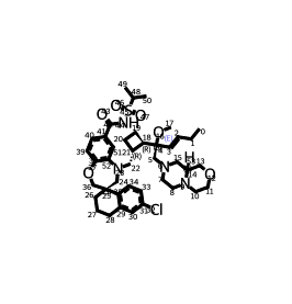 CC/C=C/[C@@](CN1CCN2CCOC[C@H]2C1)(OC)[C@@H]1CC[C@H]1CN1C[C@@]2(CCCc3cc(Cl)ccc32)COc2ccc(C(=O)NS(=O)(=O)C(C)C)cc21